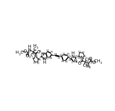 COC(=O)NC(C)(C)C(=O)N1CCC[C@H]1c1ncc(-c2ccc(C#Cc3ccc4nc([C@@H]5CCCN5C(=O)C(C)(C)NC(=O)OC)[nH]c4c3)cc2)[nH]1